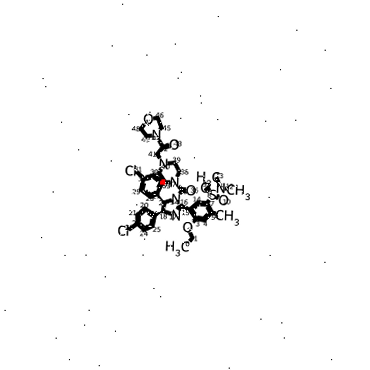 CCOc1cc(C)c(S(=O)(=O)N(C)C)cc1C1=N[C@@H](c2ccc(Cl)cc2)[C@@H](c2ccc(Cl)cc2)N1C(=O)N1CCN(CC(=O)N2CCOCC2)CC1